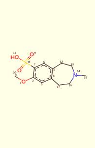 COc1cc2c(cc1S(=O)(=O)O)CCN(C)CC2